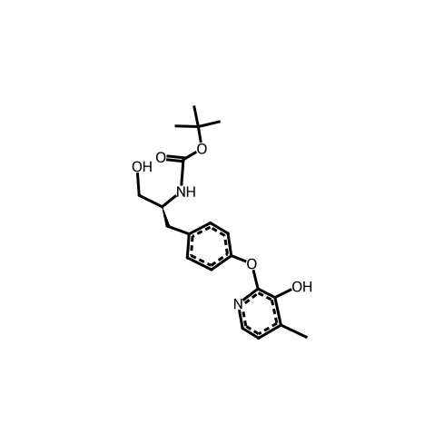 Cc1ccnc(Oc2ccc(C[C@@H](CO)NC(=O)OC(C)(C)C)cc2)c1O